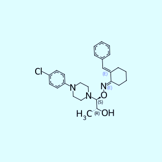 C[C@@H](O)[C@H](O/N=C1\CCCC\C1=C/c1ccccc1)N1CCN(c2ccc(Cl)cc2)CC1